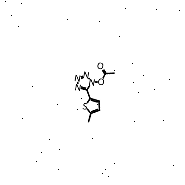 CC(=O)On1nnnc1-c1ccc(C)s1